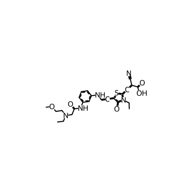 CCN(CCOC)CC(=O)Nc1cccc(NC=C=c2sc(=C=C(C#N)C(=O)O)n(CC)c2=O)c1